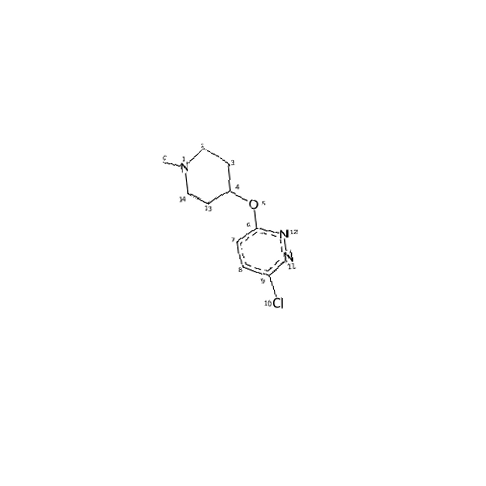 CN1CCC(Oc2ccc(Cl)nn2)CC1